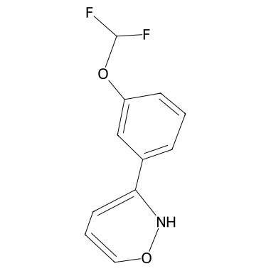 FC(F)Oc1cccc(C2=CC=CON2)c1